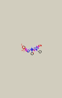 COc1ccc(S(=O)(=O)N2CCCC(n3cnc(C(=O)N4CCN(C(=O)OC(C)(C)C)C[C@H]4Cc4ccccc4)c3-c3ccccc3)C2)c(OC)c1